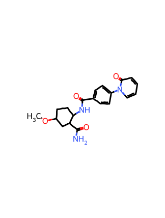 COC1CCC(NC(=O)c2ccc(-n3ccccc3=O)cc2)C(C(N)=O)C1